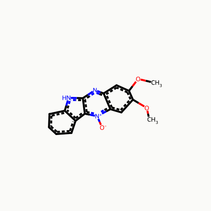 COc1cc2nc3[nH]c4ccccc4c3[n+]([O-])c2cc1OC